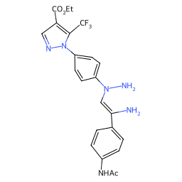 CCOC(=O)c1cnn(-c2ccc(N(N)/C=C(\N)c3ccc(NC(C)=O)cc3)cc2)c1C(F)(F)F